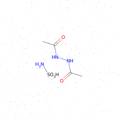 CC(=O)NNC(C)=O.NS(=O)(=O)O